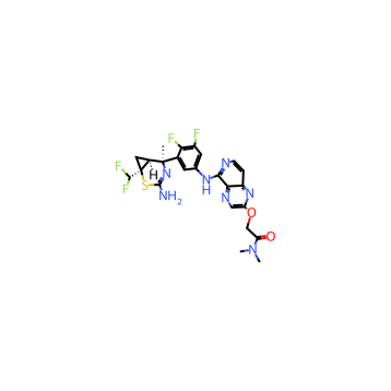 CN(C)C(=O)COc1cnc2c(Nc3cc(F)c(F)c([C@@]4(C)N=C(N)S[C@@]5(C(F)F)C[C@@H]45)c3)nccc2n1